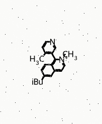 CCC(C)c1ccc2c(-c3cnccc3C)[n+](C)ccc2c1